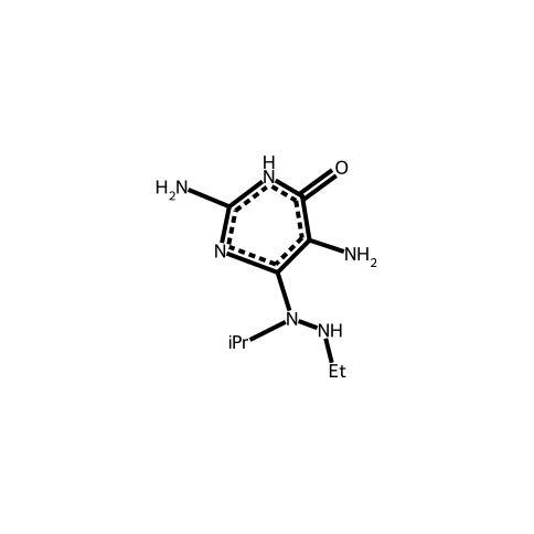 CCNN(c1nc(N)[nH]c(=O)c1N)C(C)C